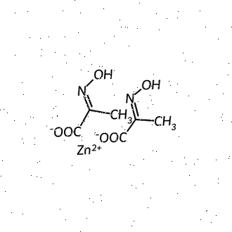 CC(=NO)C(=O)[O-].CC(=NO)C(=O)[O-].[Zn+2]